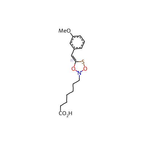 COc1cccc(/C=C2/ON(CCCCCCC(=O)O)OS2)c1